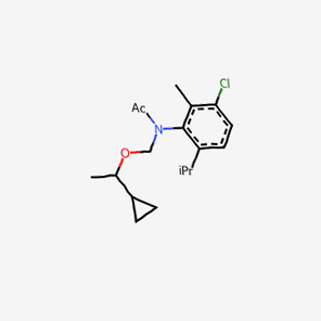 CC(=O)N(COC(C)C1CC1)c1c(C(C)C)ccc(Cl)c1C